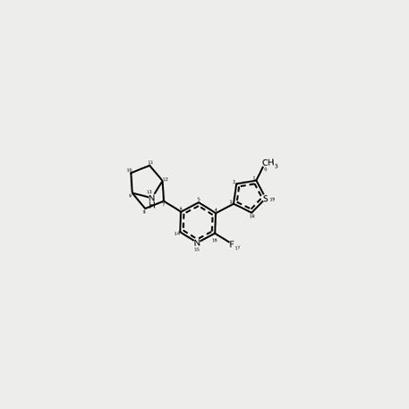 Cc1cc(-c2cc(C3CC4CCC3N4)cnc2F)cs1